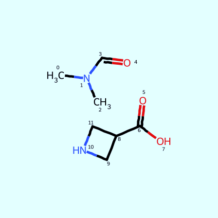 CN(C)C=O.O=C(O)C1CNC1